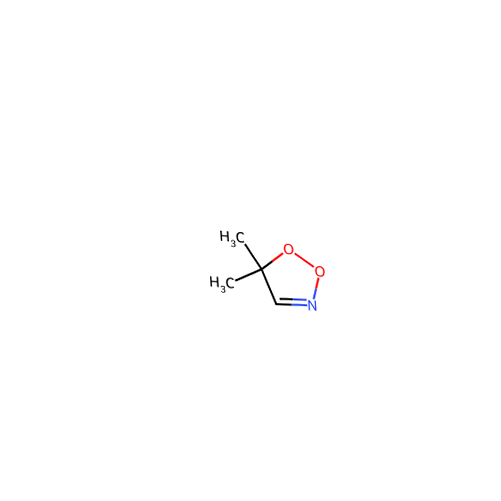 CC1(C)C=NOO1